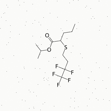 CCCC(SCCC(F)(F)C(F)(F)F)C(=O)OC(C)C